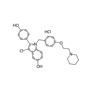 Cl.Oc1ccc(-c2c(Cl)c3cc(O)ccc3n2Cc2ccc(OCCN3CCCCC3)cc2)cc1